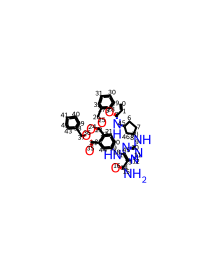 C=CC(=O)NC1CC[C@@H](Nc2nnc(C(N)=O)c(Nc3ccc(C(=O)OCc4ccccc4)c(C(=O)OCc4ccccc4)c3)n2)C1